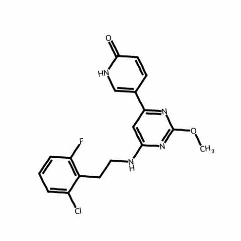 COc1nc(NCCc2c(F)cccc2Cl)cc(-c2ccc(=O)[nH]c2)n1